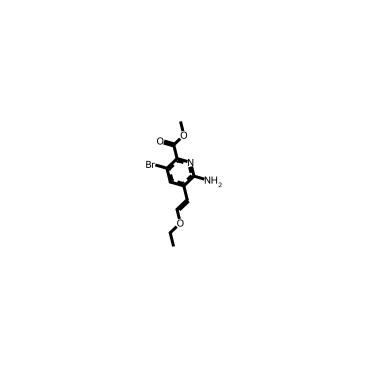 CCOC=Cc1cc(Br)c(C(=O)OC)nc1N